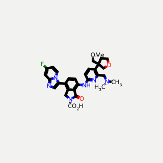 COCC1(c2ccc(Nc3ccc(-c4cnc5cc(F)ccn45)c4c3C(=O)N(C(=O)O)C4)nc2CN(C)C)CCOC1